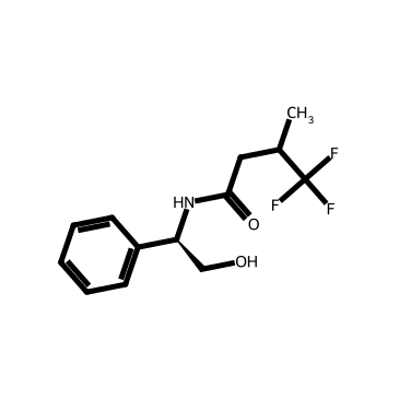 CC(CC(=O)N[C@@H](CO)c1ccccc1)C(F)(F)F